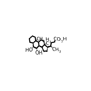 C[C@H](CCC(=O)O)[C@H]1CCC2C3C(CC[C@@]21C)[C@@]1(C)CCCCC1[C@@H](O)[C@H]3O